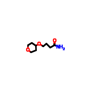 NC(=O)CCCOC1CCOCC1